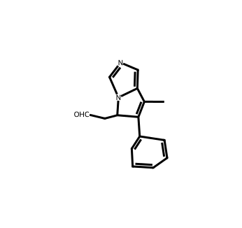 CC1=C(c2ccccc2)C(CC=O)n2cncc21